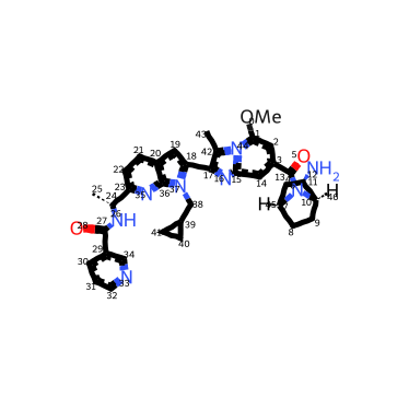 COc1cc(C(=O)N2[C@H]3CC[C@@H]2[C@H](N)C3)cc2nc(-c3cc4ccc([C@@H](C)NC(=O)c5cccnc5)nc4n3CC3CC3)c(C)n12